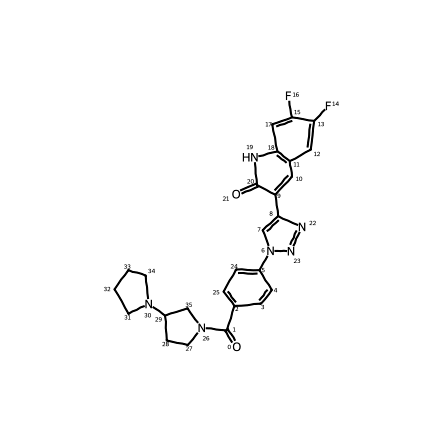 O=C(c1ccc(-n2cc(-c3cc4cc(F)c(F)cc4[nH]c3=O)nn2)cc1)N1CCC(N2CCCC2)C1